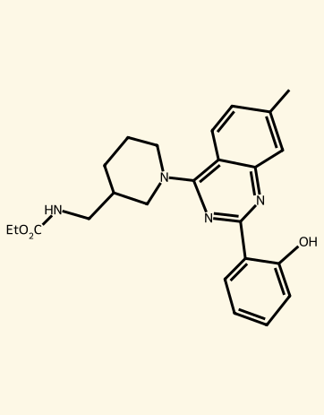 CCOC(=O)NCC1CCCN(c2nc(-c3ccccc3O)nc3cc(C)ccc23)C1